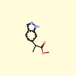 COC(=O)C(C)c1ccc2cn[nH]c2c1